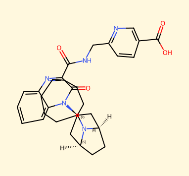 O=C(O)c1ccc(CNC(=O)c2nc3ccccc3n([C@H]3C[C@H]4CC[C@@H](C3)N4C3CCCCCCC3)c2=O)nc1